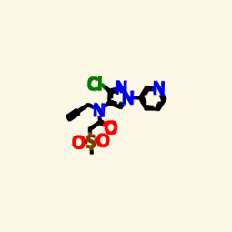 C#CCN(C(=O)CS(C)(=O)=O)c1cn(-c2cccnc2)nc1Cl